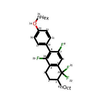 CCCCCCCCC1CCc2c(cc(F)c(-c3ccc(OCCCCCC)cc3)c2F)C1(F)F